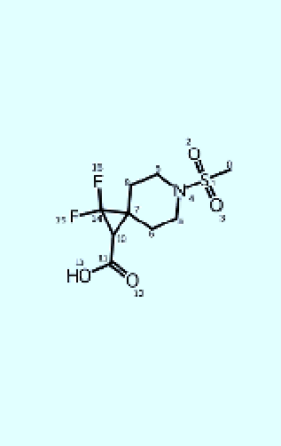 CS(=O)(=O)N1CCC2(CC1)C(C(=O)O)C2(F)F